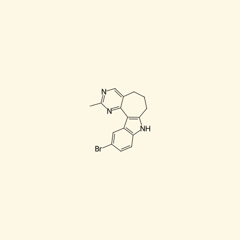 Cc1ncc2c(n1)-c1c([nH]c3ccc(Br)cc13)CCC2